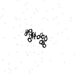 c1ccc(-c2nc(-c3ccc4c(c3)oc3cccc(-c5cccc6c7ccccc7n(-c7ccccc7)c56)c34)nc(-c3cccc4oc5ccccc5c34)n2)cc1